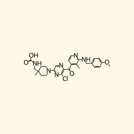 COc1ccc(CNc2nccc(C(=O)c3ncc(N4CCC(C)(CNC(=O)O)CC4)nc3Cl)c2C)cc1